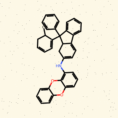 CC1CC=CC=C1C1(c2ccccc2)c2ccccc2C2=CC=C(Nc3cccc4c3Oc3ccccc3O4)CC21